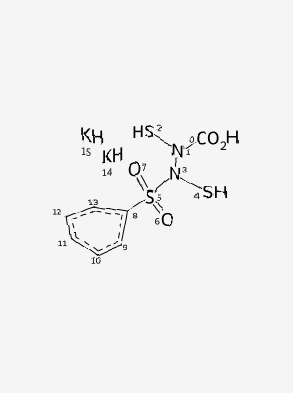 O=C(O)N(S)N(S)S(=O)(=O)c1ccccc1.[KH].[KH]